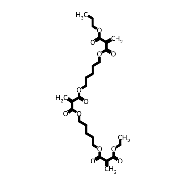 C=C(C(=O)OCC)C(=O)OCCCCCOC(=O)C(=C)C(=O)OCCCCCOC(=O)C(=C)C(=O)OCCC